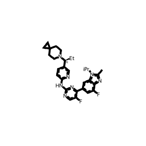 CC[C@@H](c1ccc(Nc2ncc(F)c(-c3cc(F)c4nc(C)n(C(C)C)c4c3)n2)nc1)N1CCC2(CC1)CC2